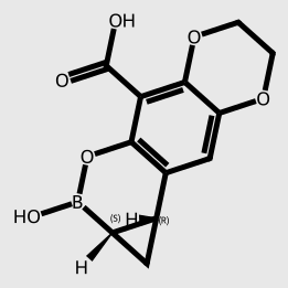 O=C(O)c1c2c(cc3c1OB(O)[C@H]1C[C@@H]31)OCCO2